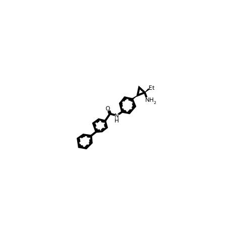 CC[C@]1(N)C[C@@H]1c1ccc(NC(=O)c2ccc(-c3ccccc3)cc2)cc1